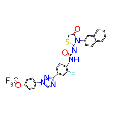 O=C(/N=C1\SCC(=O)N1c1ccc2ccccc2c1)Nc1ccc(-c2ncn(-c3ccc(OC(F)(F)F)cc3)n2)cc1F